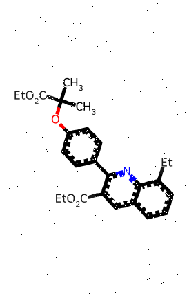 CCOC(=O)c1cc2cccc(CC)c2nc1-c1ccc(OC(C)(C)C(=O)OCC)cc1